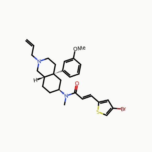 C=CCN1CC[C@@]2(c3cccc(OC)c3)C[C@@H](N(C)C(=O)/C=C/c3cc(Br)cs3)CC[C@@H]2C1